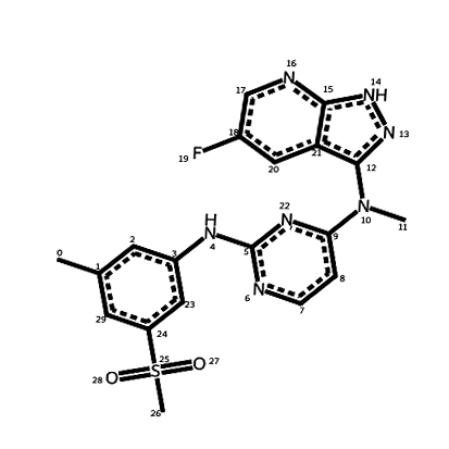 Cc1cc(Nc2nccc(N(C)c3n[nH]c4ncc(F)cc34)n2)cc(S(C)(=O)=O)c1